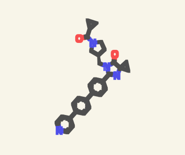 O=C(C1CC1)N1CC[C@@H](CN2C(=O)C3(CC3)N=C2c2ccc(-c3ccc(-c4ccncc4)cc3)cc2)C1